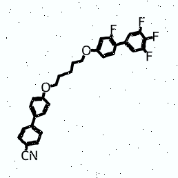 N#Cc1ccc(-c2ccc(OCCCCCOc3ccc(-c4cc(F)c(F)c(F)c4)c(F)c3)cc2)cc1